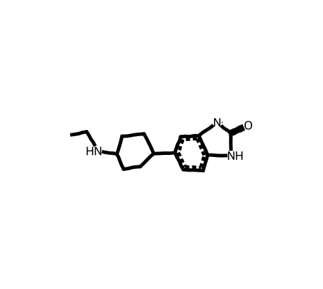 CCNC1CCC(c2ccc3c(c2)[N]C(=O)N3)CC1